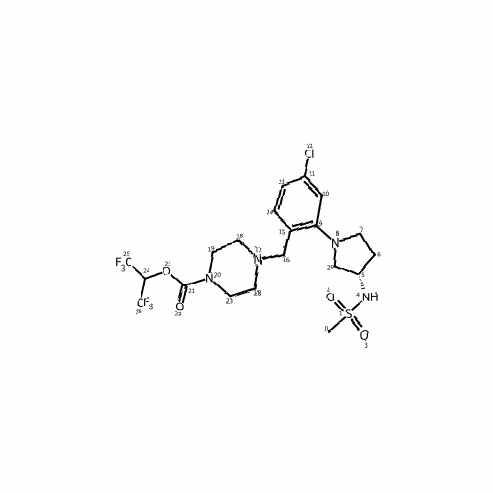 CS(=O)(=O)N[C@H]1CCN(c2cc(Cl)ccc2CN2CCN(C(=O)OC(C(F)(F)F)C(F)(F)F)CC2)C1